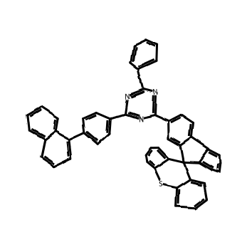 c1ccc(-c2nc(-c3ccc(-c4cccc5ccccc45)cc3)nc(-c3ccc4c(c3)C3(c5ccccc5Sc5ccccc53)c3ccccc3-4)n2)cc1